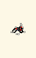 Cl.NC(=O)Nc1cc(Cl)ccc1/C=C/C(=O)N1C2CNCC1CN(Cc1ccc(F)cc1)C2